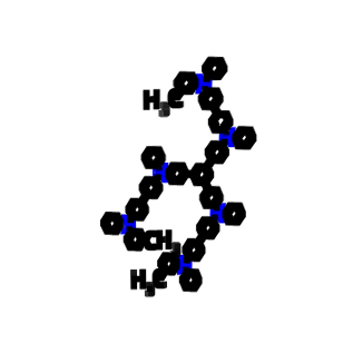 Cc1cccc(N(c2ccccc2)c2ccc(-c3ccc(N(c4ccccc4)c4ccc(-c5cc(-c6ccc(N(C7=CCC(c8ccc(N(c9ccccc9)c9cccc(C)c9)cc8)C=C7)c7ccccc7)cc6)cc(-c6ccc(N(c7ccccc7)c7ccc(-c8ccc(N(c9ccccc9)c9cccc(C)c9)cc8)cc7)cc6)c5)cc4)cc3)cc2)c1